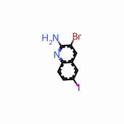 Nc1nc2ccc(I)cc2cc1Br